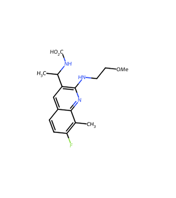 COCCNc1nc2c(C)c(F)ccc2cc1C(C)NC(=O)O